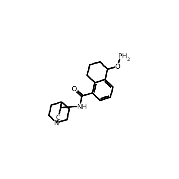 O=C(NC1CN2CCC1CC2)c1cccc2c1CCCC2OP